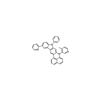 Cc1ccncc1N1c2cc3c(cc2-c2cccc4cccc1c24)c1cc(-c2ccccn2)ccc1n3-c1ccccc1